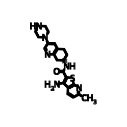 Cc1ccc2c(N)c(C(=O)N[C@@H]3CCc4cc(N5CCNCC5)cnc4C3)sc2n1